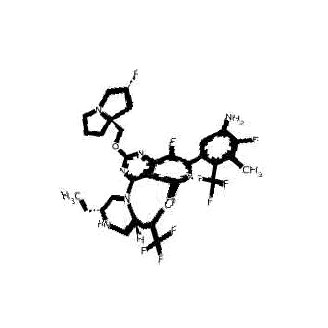 CC[C@@H]1CN2c3nc(OC[C@@]45CCCN4C[C@H](F)C5)nc4c(F)c(-c5cc(N)c(F)c(C)c5C(F)(F)F)nc(c34)OC(C(F)(F)F)[C@@H]2CN1